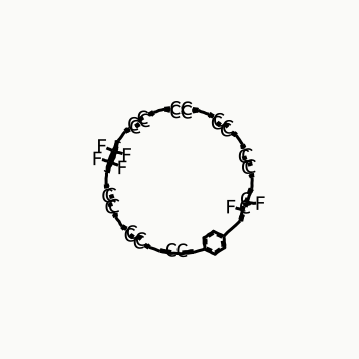 Fc1cc2c(F)cc1-c1ccc(cc1)C1=CC=C(CC1)c1ccc(cc1)-c1ccc(cc1)-c1c(F)c(F)c(c(F)c1F)-c1ccc(cc1)-c1ccc(cc1)-c1ccc(cc1)-c1ccc-2cc1